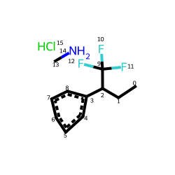 CCC(c1ccccc1)C(F)(F)F.CN.Cl